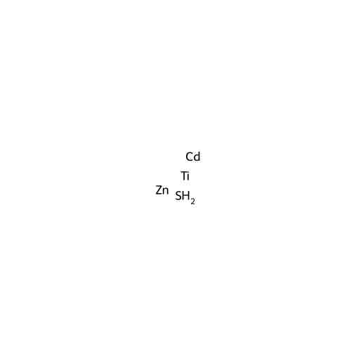 S.[Cd].[Ti].[Zn]